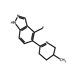 CC1CCC(c2ccc3[nH]ncc3c2F)=NC1